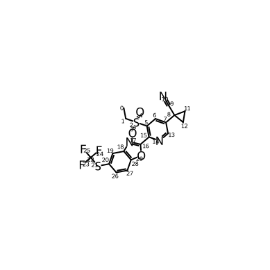 CCS(=O)(=O)c1cc(C2(C#N)CC2)cnc1-c1nc2cc(SC(F)(F)F)ccc2o1